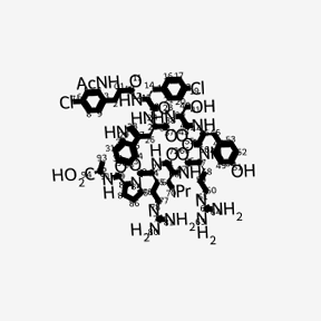 CC(=O)N[C@H](Cc1ccc(Cl)cc1)C(=O)N[C@H](Cc1ccc(Cl)cc1)C(=O)N[C@H](Cc1c[nH]c2ccccc12)C(=O)N[C@@H](CO)C(=O)N[C@@H](Cc1ccc(O)cc1)C(=O)N[C@H](CCCN=C(N)N)C(=O)N[C@@H](CC(C)C)C(=O)N[C@@H](CCCN=C(N)N)C(=O)N1CCC[C@H]1C(=O)N[C@H](C)C(=O)O